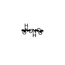 C=CC(=O)NCCOCNCCOC(=O)C=C